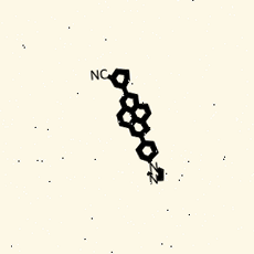 N#Cc1cccc(-c2cc3ccc4cc(-c5ccc(-n6ccnc6)cc5)cc5ccc(c2)c3c45)c1